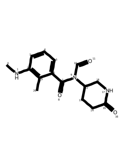 CNc1cccc(C(=O)N(C=O)C2CCC(=O)NC2)c1C